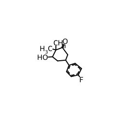 CC1(C)C(=O)CC(c2ccc(F)cc2)CC1O